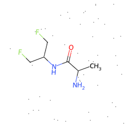 CC(N)C(=O)NC(CF)CF